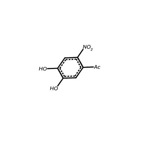 CC(=O)c1cc(O)c(O)cc1[N+](=O)[O-]